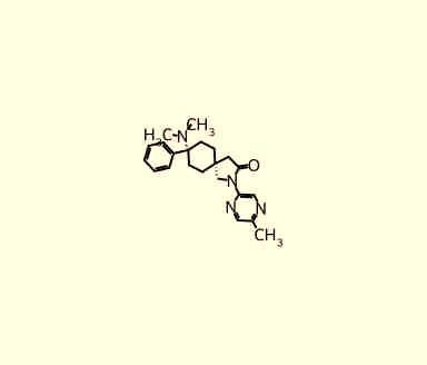 Cc1cnc(N2C[C@]3(CC[C@@](c4ccccc4)(N(C)C)CC3)CC2=O)cn1